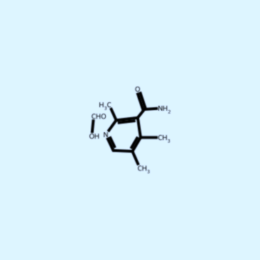 Cc1cnc(C)c(C(N)=O)c1C.O=CO